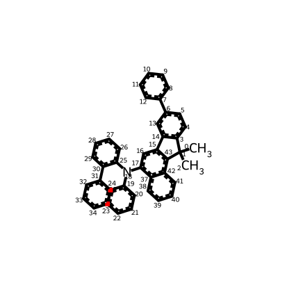 CC1(C)c2ccc(-c3ccccc3)cc2-c2cc(N(c3ccccc3)c3ccccc3-c3ccccc3)c3ccccc3c21